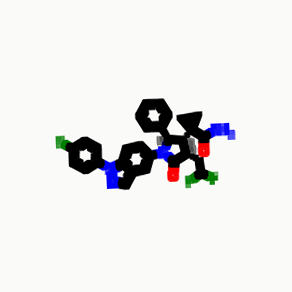 NC(=O)C1([C@@H]2[C@H](CC(F)F)C(=O)N(c3ccc4c(cnn4-c4ccc(F)cc4)c3)[C@H]2c2ccccc2)CC1